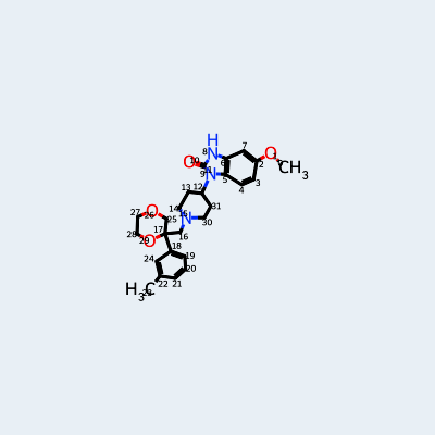 COc1ccc2c(c1)[nH]c(=O)n2C1CCN(CC2(c3cccc(C)c3)COCCO2)CC1